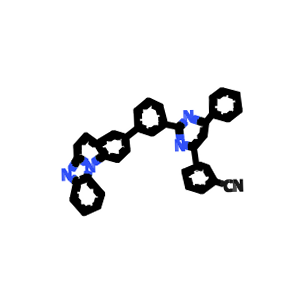 N#Cc1cccc(-c2cc(-c3ccccc3)nc(-c3cccc(-c4ccc5c(ccc6nc7ccccc7n65)c4)c3)n2)c1